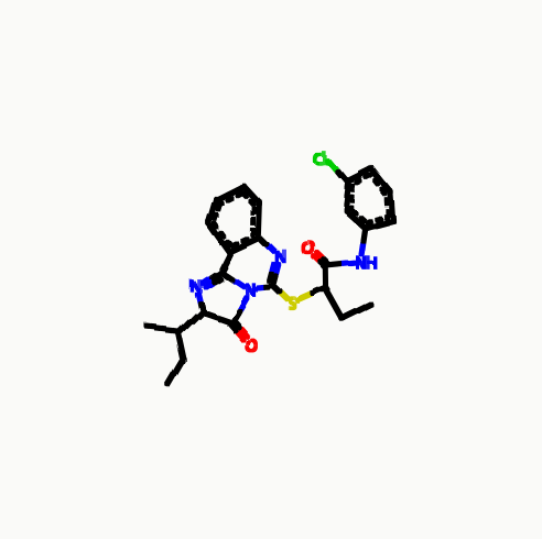 CCC(SC1=Nc2ccccc2C2=NC(C(C)CC)C(=O)N12)C(=O)Nc1cccc(Cl)c1